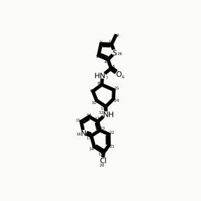 Cc1ccc(C(=O)NC2CCC(Nc3ccnc4cc(Cl)ccc34)CC2)s1